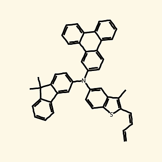 C=C/C=C\c1sc2ccc(N(c3ccc4c(c3)-c3ccccc3C4(C)C)c3ccc4c5ccccc5c5ccccc5c4c3)cc2c1C